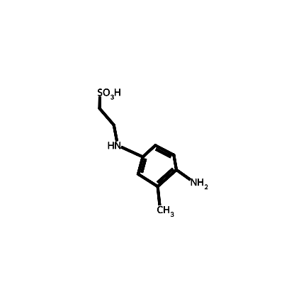 Cc1cc(NCCS(=O)(=O)O)ccc1N